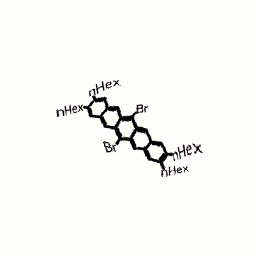 CCCCCCc1cc2cc3c(Br)c4cc5cc(CCCCCC)c(CCCCCC)cc5cc4c(Br)c3cc2cc1CCCCCC